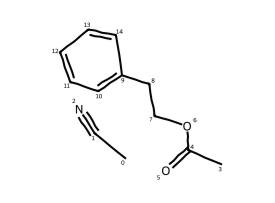 CC#N.CC(=O)OCCc1ccccc1